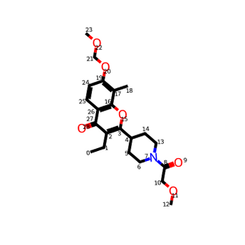 CCc1c(C2CCN(C(=O)COC)CC2)oc2c(C)c(OCOC)ccc2c1=O